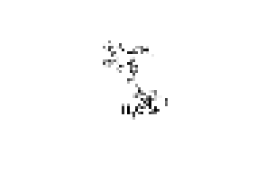 CC1CS(=O)(=O)CC1OCCC[Si](C)(C)[O]